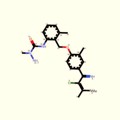 CN/C(C)=C(/Cl)C(=N)c1ccc(OCc2c(C)cccc2NC(=O)N(C)N)c(C)c1